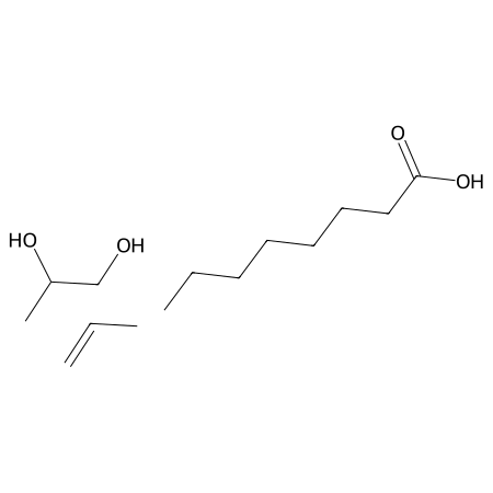 C=CC.CC(O)CO.CCCCCCCC(=O)O